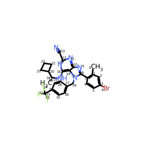 Cc1cc(Br)ccc1-c1nc2nc(C#N)nc(N[C@H](C)C3CCC3)c2n1Cc1ccc(C(F)(F)F)cc1